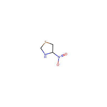 O=[N+]([O-])C1CS[CH]N1